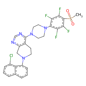 CS(=O)(=O)c1c(F)c(F)c(N2CCN(c3ncnc4c3CCN(c3cccc5cccc(Cl)c35)C4)CC2)c(F)c1F